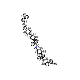 C=CC(=O)OCCCOc1ccc(-c2ccc(OC(=O)/C=C/c3ccc(OC(=O)C(=C)CC(=O)OCC)c(C)c3)cc2)cc1